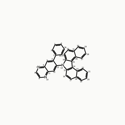 c1ccc(-c2cc3nccnc3cc2-n2c3ccc4ccccc4c3c3c4ccccc4ccc32)cc1